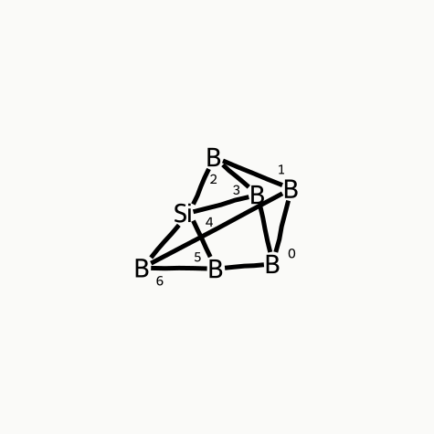 B12B3B4B1[Si]41B2B31